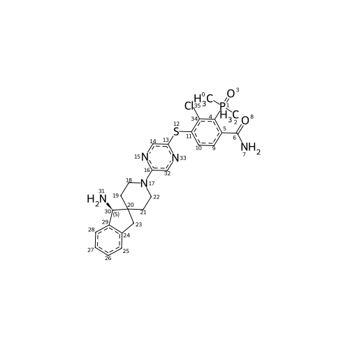 CP(C)(=O)c1c(C(N)=O)ccc(Sc2cnc(N3CCC4(CC3)Cc3ccccc3[C@H]4N)cn2)c1Cl